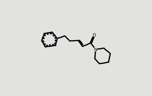 O=C(/C=C/CCc1ccccc1)N1CCCCC1